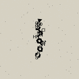 CN1CCN(C2CCN(c3nn(C)c4cc(Nc5ncc(Cl)c(-c6cnn(S(=O)(=O)C7CC7)c6)n5)ccc34)CC2)CC1